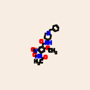 COc1cc(NC(C)=O)c([N+](=O)[O-])cc1C(=O)NC1CCN(CC2=CCC=CC2)CC1